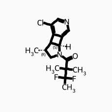 C[C@H]1CN(C(=O)C(C)(C)C(C)(F)F)[C@@H]2c3cncc(Cl)c3C21